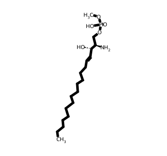 CCCCCCCCCCCCC/C=C/[C@H](O)[C@H](N)COP(=O)(O)OC